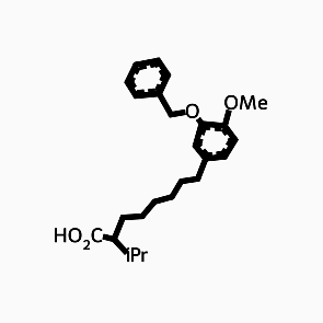 COc1ccc(CCCCCCC(C(=O)O)C(C)C)cc1OCc1ccccc1